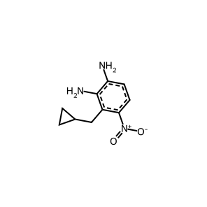 Nc1ccc([N+](=O)[O-])c(CC2CC2)c1N